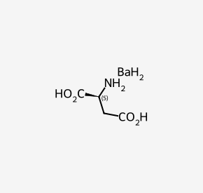 N[C@@H](CC(=O)O)C(=O)O.[BaH2]